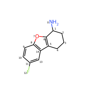 NC1CCCc2c1oc1ccc(F)cc21